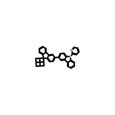 c1ccc(-n2c3ccccc3c3cc(-c4ccc5c(c4)-c4ccccc4C54C5CC6CC7CC4C675)ccc32)nc1